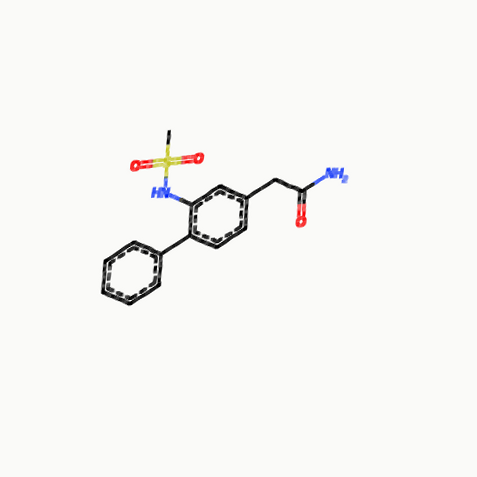 CS(=O)(=O)Nc1cc(CC(N)=O)ccc1-c1ccccc1